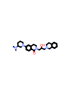 CN(C)C1CCCN(c2ccc3c(c2)CCN(CC(O)CN2CCc4ccccc4C2)C3=O)C1